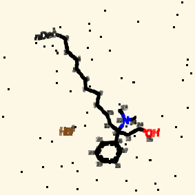 Br.CCCCCCCCCCCCCCCCCCCCC(CCO)(c1ccccc1)N(C)C